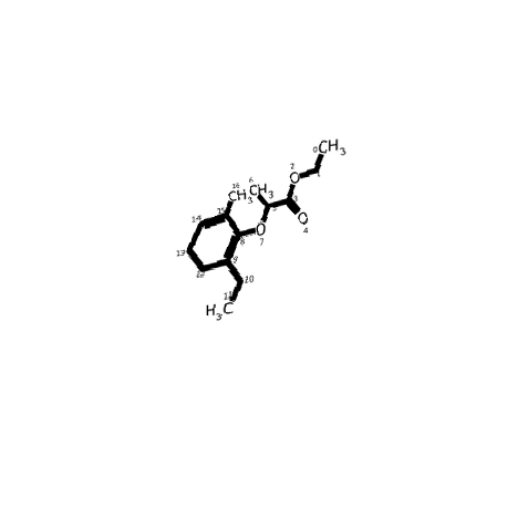 CCOC(=O)C(C)OC1=C(CC)CCC=C1C